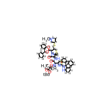 C[n+]1cccc(SCC2=C(C(=O)OC(c3ccccc3)c3ccccc3)N3C(=O)[C@@H](NC(=O)/C(=N\OC(C)(C)C(=O)OC(C)(C)C)c4csc(NC(c5ccccc5)(c5ccccc5)c5ccccc5)n4)[C@H]3SC2)c1